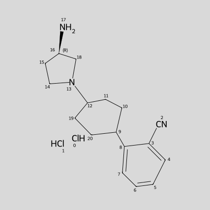 Cl.Cl.N#Cc1ccccc1C1CCC(N2CC[C@@H](N)C2)CC1